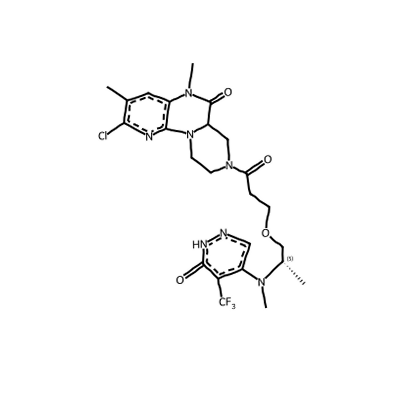 Cc1cc2c(nc1Cl)N1CCN(C(=O)CCOC[C@H](C)N(C)c3cn[nH]c(=O)c3C(F)(F)F)CC1C(=O)N2C